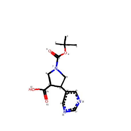 CC(C)(C)OC(=O)N1CC(C(=O)O)C(c2cncnc2)C1